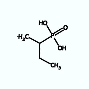 [CH2]C(CC)P(=O)(O)O